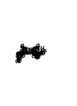 CC(=O)c1ccc(C(=O)N(CCCN(CCN2C(=O)c3cccc4cc([N+](=O)[O-])cc(c34)C2=O)C(=O)c2ccc(C=O)cc2)CCN2C(=O)c3cccc4cc([N+](=O)[O-])cc(c34)C2=O)cc1